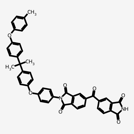 Cc1ccc(Oc2ccc(C(C)(C)c3ccc(Oc4ccc(N5C(=O)c6ccc(C(=O)c7ccc8c(c7)C(=O)NC8=O)cc6C5=O)cc4)cc3)cc2)cc1